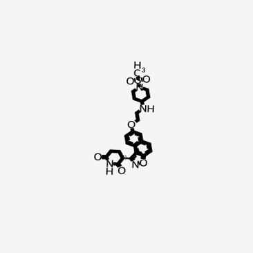 CS(=O)(=O)N1CCC(NCCOc2ccc3c(ccc4onc([C@@H]5CCC(=O)NC5=O)c43)c2)CC1